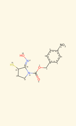 O=C(OCc1ccc([N+](=O)[O-])cc1)N1CCC(S)C1=NO